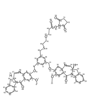 COc1cc2c(cc1OCc1cc(COc3cc4c(cc3OC)C(=O)N3c5ccccc5C[C@H]3C=N4)cc(CSCCOCCC(=O)ON3C(=O)CCC3=O)c1)N=C[C@@H]1Cc3ccccc3N1C2=O